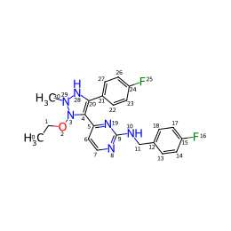 CCON1C(c2ccnc(NCc3ccc(F)cc3)n2)=C(c2ccc(F)cc2)NN1C